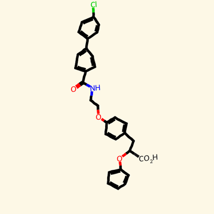 O=C(NCCOc1ccc(CC(Oc2ccccc2)C(=O)O)cc1)c1ccc(-c2ccc(Cl)cc2)cc1